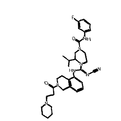 CC(C)C1CN(C(=O)Nc2cccc(F)c2)CCN1/C(=N\C#N)Nc1cccc2c1CCN(C(=O)CCN1CCCCC1)C2